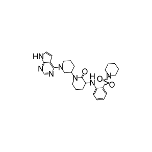 O=C1C(Nc2ccccc2S(=O)(=O)N2CCCCC2)CCCN1C1CCCN(c2ncnc3[nH]ccc23)C1